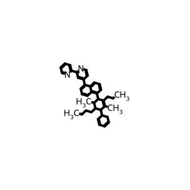 CCCCC1C(C)C(c2cccc3c(-c4ccnc(-c5ccccn5)c4)cccc23)C(CCC)=C(C)C1C1C=CC=CC1